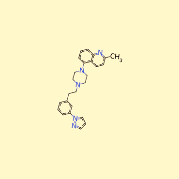 Cc1ccc2c(N3CCN(CCc4cccc(-n5cccn5)c4)CC3)cccc2n1